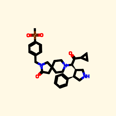 CS(=O)(=O)c1ccc(CN2CC3(CCN(C(C(=O)C4CC4)[C@@H]4CNC[C@@H]4c4ccccc4)CC3)CC2=O)cc1